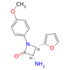 COc1ccc(N2C(=O)[C@@H](N)[C@H]2c2ccco2)cc1